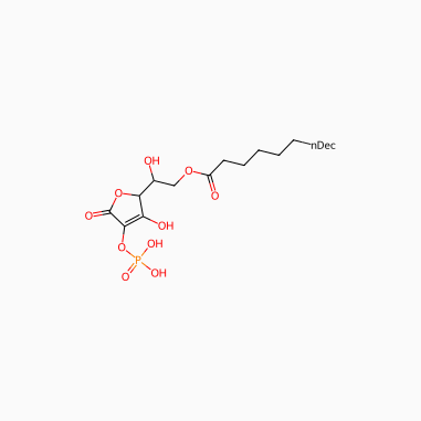 CCCCCCCCCCCCCCCC(=O)OCC(O)C1OC(=O)C(OP(=O)(O)O)=C1O